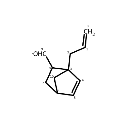 C=CCC12C=CC(CC1[C]=O)C2